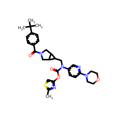 Cc1nc(OC(=O)N(CC2C3CN(C(=O)c4ccc(C(C)(C)C)cc4)CC32)c2ccc(N3CCOCC3)nc2)cs1